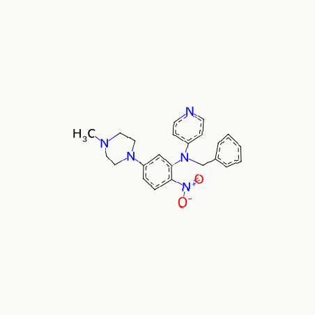 CN1CCN(c2ccc([N+](=O)[O-])c(N(Cc3ccccc3)c3ccncc3)c2)CC1